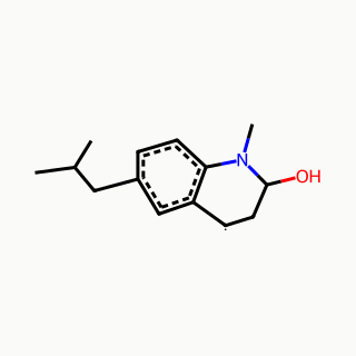 CC(C)Cc1ccc2c(c1)[CH]CC(O)N2C